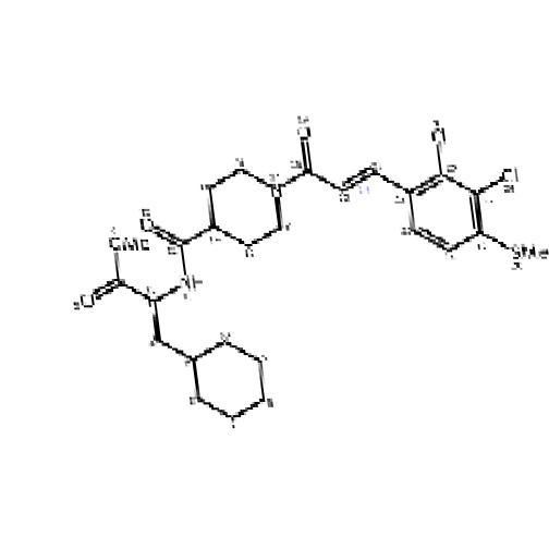 COC(=O)[C@H](CC1CCCCC1)NC(=O)C1CCN(C(=O)/C=C/c2ccc(SC)c(Cl)c2Cl)CC1